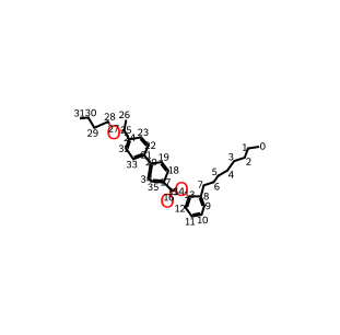 CCCCCCCCc1ccccc1OC(=O)c1ccc(-c2ccc(C(C)OCCCC)cc2)cc1